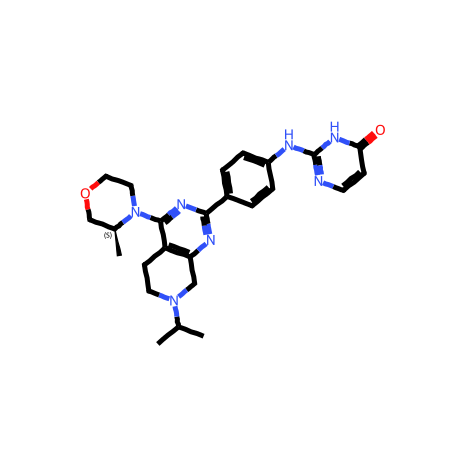 CC(C)N1CCc2c(nc(-c3ccc(Nc4nccc(=O)[nH]4)cc3)nc2N2CCOC[C@@H]2C)C1